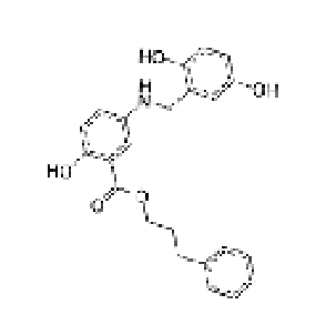 O=C(OCCCc1ccccc1)c1cc(NCc2cc(O)ccc2O)ccc1O